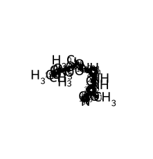 CC[C@H](COC(=O)CNC(=O)OC(C)(C)C)OC(=O)NCc1cccc(NC(=O)Nc2ccc(-c3cnco3)c(OC)c2)c1